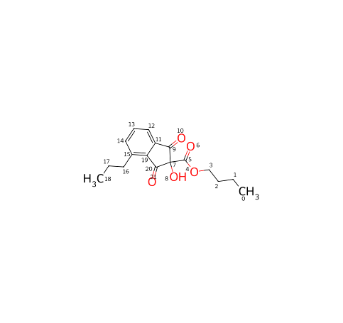 CCCCOC(=O)C1(O)C(=O)c2cccc(CCC)c2C1=O